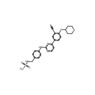 CS(=O)(=O)NCc1ccc(Nc2nccc(-c3ccc(OC4CCOCC4)c(C#N)c3)n2)cc1